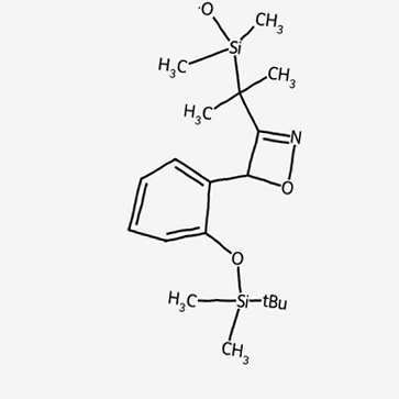 CC(C)(C1=NOC1c1ccccc1O[Si](C)(C)C(C)(C)C)[Si](C)(C)[O]